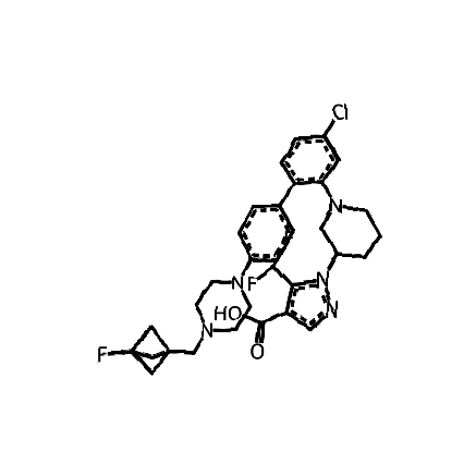 O=C(O)c1cnn(C2CCCN(c3cc(Cl)ccc3-c3ccc(N4CCN(CC56CC(F)(C5)C6)CC4)cc3)C2)c1C(F)F